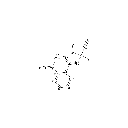 C#CC(C)(CC)OC(=O)c1ccccc1C(=O)O